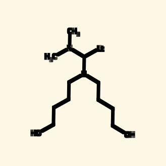 CCC(N(C)C)N(CCCCO)CCCCO